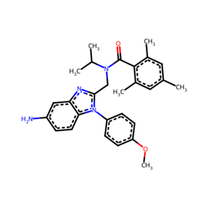 COc1ccc(-n2c(CN(C(=O)c3c(C)cc(C)cc3C)C(C)C)nc3cc(N)ccc32)cc1